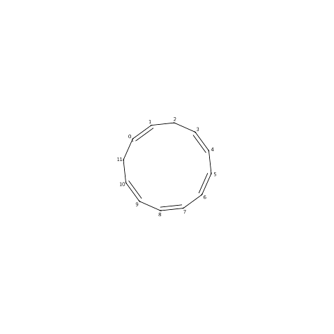 [C]1=CCC=CC=CC=CC=CC1